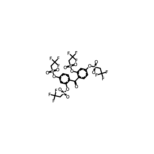 O=C(c1ccc(OS(=O)(=O)CC(F)(F)F)cc1OS(=O)(=O)CC(F)(F)F)c1ccc(OS(=O)(=O)CC(F)(F)F)cc1OS(=O)(=O)CC(F)(F)F